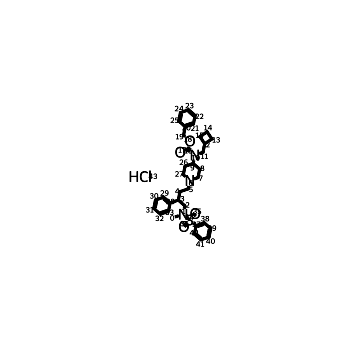 CN(CC(CCN1CCC(N(CC2CCC2)C(=O)OCc2ccccc2)CC1)c1ccccc1)S(=O)(=O)c1ccccc1.Cl